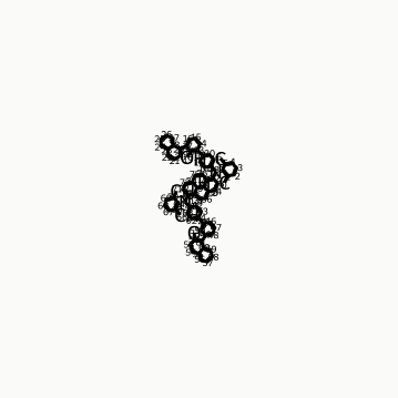 Cc1cccc(C)c1N(c1ccc(-c2cccc3c2oc2ccc4ccccc4c23)cc1)c1ccc2ccc3c(N(c4ccc(-c5cccc6c5oc5ccc7ccccc7c56)cc4)c4c(C)cccc4C)ccc4ccc1c2c43